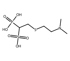 CN(C)CCSCC(P(=O)(O)O)S(=O)(=O)O